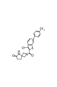 O=C1CCC2(CN(C(=O)c3sc4cc(-c5ccc(C(F)(F)F)cc5)ccc4c3Cl)C2)N1